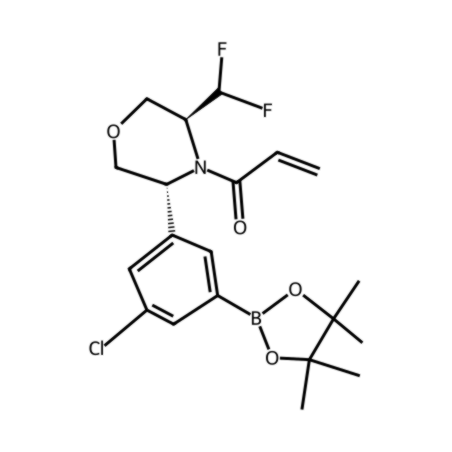 C=CC(=O)N1[C@H](c2cc(Cl)cc(B3OC(C)(C)C(C)(C)O3)c2)COC[C@H]1C(F)F